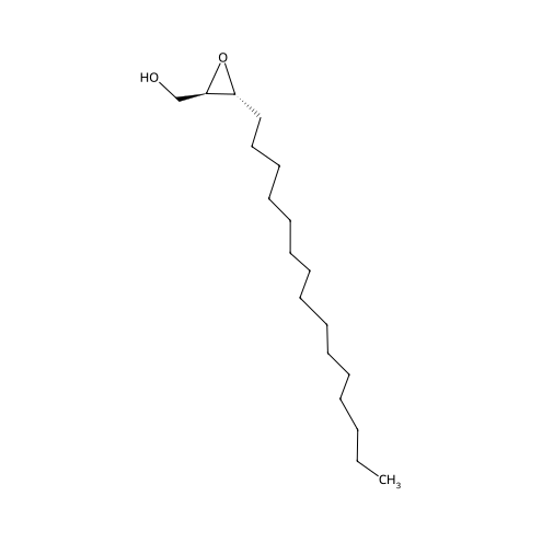 CCCCCCCCCCCCCCC[C@H]1O[C@@H]1CO